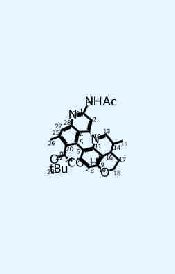 CC(=O)Nc1ccc2c(-c3ccc4c5c3N=CC(C)C5CCO4)c([C@H](OC(C)(C)C)C(=O)O)c(C)cc2n1